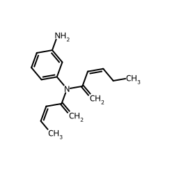 C=C(/C=C\C)N(C(=C)/C=C\CC)c1cccc(N)c1